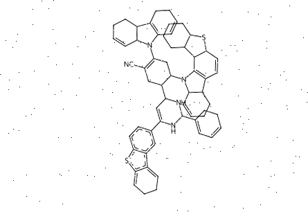 N#CC1=C(N2C3=C(CCC=C3)C3CCC=CC32)CC(N2C3=C(C=CC4SC5CCCCC5C34)C3CCC=CC32)C(C2C=C(c3ccc4sc5c(c4c3)=CCCC=5)NC(C3=CC=CCC3)N2)C1